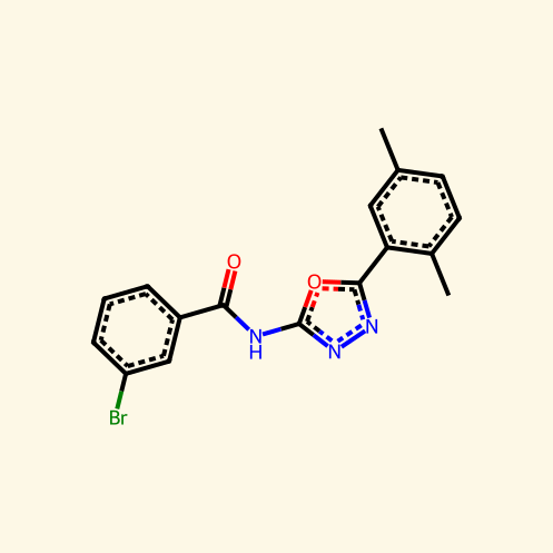 Cc1ccc(C)c(-c2nnc(NC(=O)c3cccc(Br)c3)o2)c1